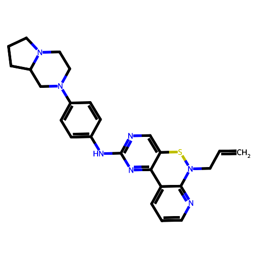 C=CCN1Sc2cnc(Nc3ccc(N4CCN5CCCC5C4)cc3)nc2-c2cccnc21